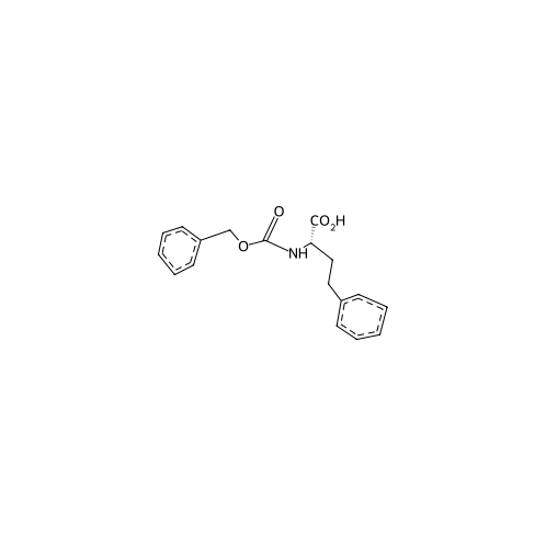 O=C(N[C@@H](CCc1ccccc1)C(=O)O)OCc1ccccc1